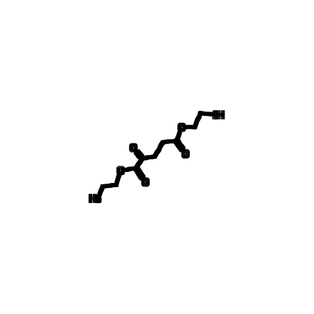 O=C(CCC(=O)C(=O)OCCS)OCCS